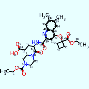 CCOC(=O)N1CCN(C(=O)C(CCC(=O)O)NC(=O)c2cc(OC3(C(=O)OCC)CCC3)c3cc(C)c(C)cc3n2)CC1